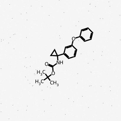 CC(C)(C)OC(=O)NC1(c2cccc(Oc3ccccc3)c2)CC1